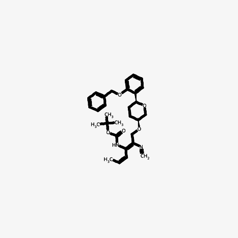 C=N/C(CO[C@H]1CC[C@@H](c2ccccc2OCc2ccccc2)OC1)=C(\C=C/C)NC(=O)OC(C)(C)C